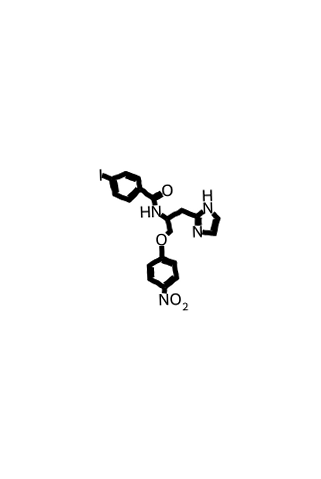 O=C(NC(COc1ccc([N+](=O)[O-])cc1)Cc1ncc[nH]1)c1ccc(I)cc1